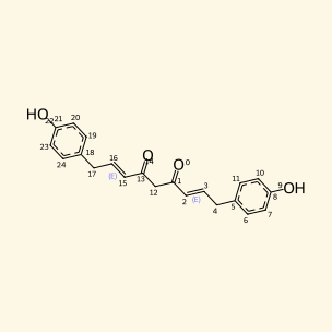 O=C(/C=C/Cc1ccc(O)cc1)CC(=O)/C=C/Cc1ccc(O)cc1